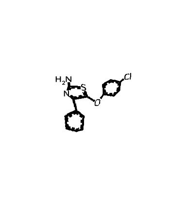 Nc1nc(-c2ccccc2)c(Oc2ccc(Cl)cc2)s1